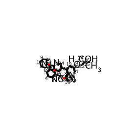 C#Cc1cccc(CN2C3CC2CN(c2ccc(-c4cc(OCC(C)(C)O)cn5ncc(C#N)c45)cn2)C3)c1